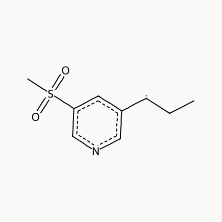 CC[CH]c1cncc(S(C)(=O)=O)c1